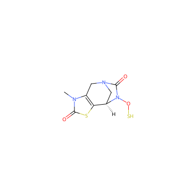 Cn1c2c(sc1=O)[C@H]1CN(C2)C(=O)N1OS